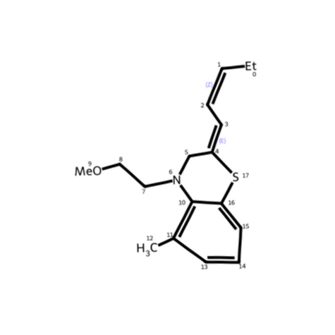 CC/C=C\C=C1/CN(CCOC)c2c(C)cccc2S1